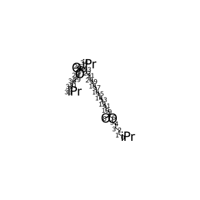 CC(C)CCCCCOC(=O)CCCCCCCCCCCCCCCC(C(=O)OCCCCCC(C)C)C(C)C